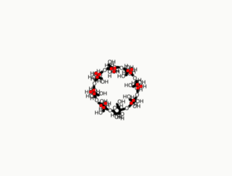 OC[C@H]1OC2OC3[C@@H](CO)OC(OC4[C@@H](CO)OC(O[C@H]5[C@H](O)[C@@H](O)C(O[C@H]6[C@H](O)[C@@H](O)C(O[C@H]7[C@H](O)[C@@H](O)C(O[C@H]8[C@H](O)[C@@H](O)C(O[C@H]9[C@H](O)[C@@H](O)C(OC1[C@H](O)C2O)O[C@@H]9CO)O[C@@H]8CO)O[C@@H]7CO)O[C@@H]6CO)O[C@@H]5CO)[C@H](O)[C@H]4O)[C@H](O)[C@H]3O